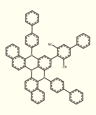 N#Cc1cc(-c2ccccc2)cc(C#N)c1-c1cc2c3c(c1)N(c1ccc(-c4ccccc4)cc1)c1c(ccc4ccccc14)B3c1ccc3ccccc3c1N2c1ccc(-c2ccccc2)cc1